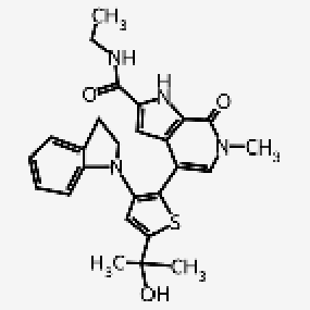 CCNC(=O)c1cc2c(-c3sc(C(C)(C)O)cc3N3CCc4ccccc43)cn(C)c(=O)c2[nH]1